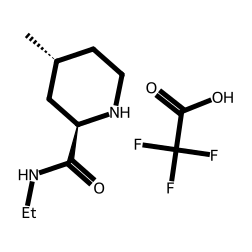 CCNC(=O)[C@H]1C[C@H](C)CCN1.O=C(O)C(F)(F)F